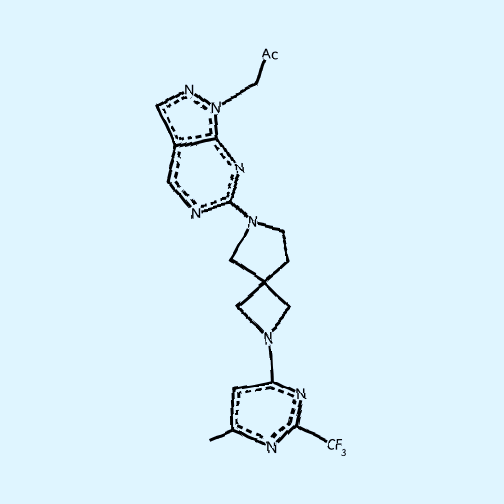 CC(=O)Cn1ncc2cnc(N3CCC4(CN(c5cc(C)nc(C(F)(F)F)n5)C4)C3)nc21